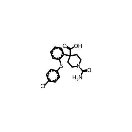 NC(=O)N1CCC(C(=O)O)(c2ccccc2Sc2ccc(Cl)cc2)CC1